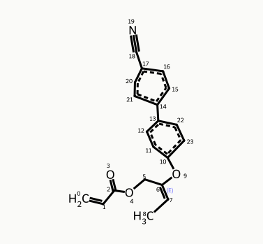 C=CC(=O)OC/C(=C\C)Oc1ccc(-c2ccc(C#N)cc2)cc1